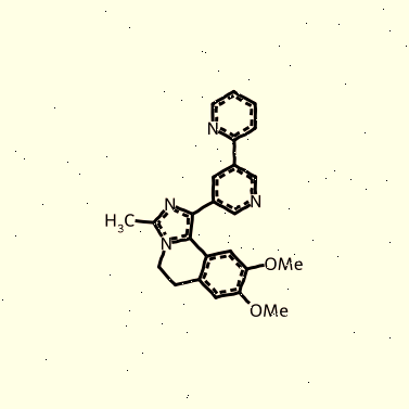 COc1cc2c(cc1OC)-c1c(-c3cncc(-c4ccccn4)c3)nc(C)n1CC2